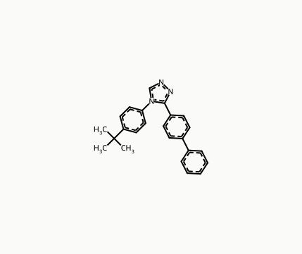 CC(C)(C)c1ccc(-n2cnnc2-c2ccc(-c3ccccc3)cc2)cc1